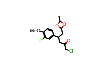 COc1ccc(C(CC(=O)CCl)CC2OC(C)O2)cc1F